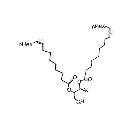 CCCCCC/C=C\CCCCCCCC(=O)OC(CO)C(OC(=O)CCCCCCC/C=C\CCCCCC)C(C)=O